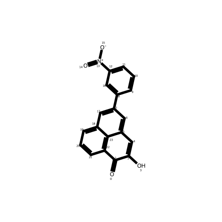 O=C1C(O)=Cc2cc(-c3cccc([N+](=O)[O-])c3)cc3cccc1c23